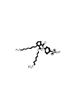 CCCCCCCCOC(=O)c1c(CCCCCCCC)cccc1C(=O)Oc1ccc(S(=O)(=O)O)cc1